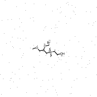 COCC(C[N+](C)(C)CCO)OC.[Br-]